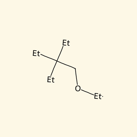 C[CH]OCC(CC)(CC)CC